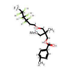 COCC(C)(COCCC(F)(F)C(F)(F)C(F)(F)C(F)(F)F)COC(=O)c1ccc(C)cc1